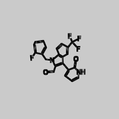 O=Cc1c(-c2ccc[nH]c2=O)c2cc(C(F)(F)F)ccc2n1Cc1ccccc1F